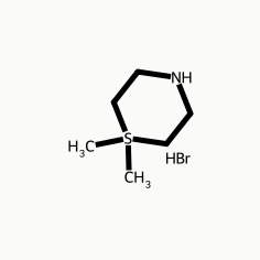 Br.CS1(C)CCNCC1